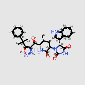 C[C@H](CC(=O)c1nnoc1C(C)(C)c1ccccc1)CC(C(N)=O)N1C(=O)NC(=O)[C@H]1c1c[nH]c2ccccc12